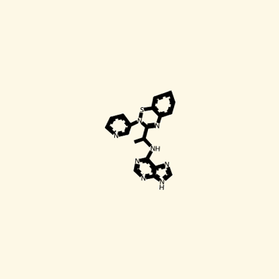 CC(Nc1ncnc2[nH]cnc12)C1=Nc2ccccc2SN1c1cccnc1